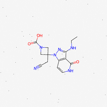 CCNc1nn(C2(CC#N)CN(C(=O)O)C2)c2cc[nH]c(=O)c12